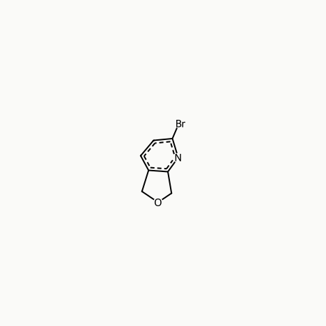 Brc1ccc2c(n1)COC2